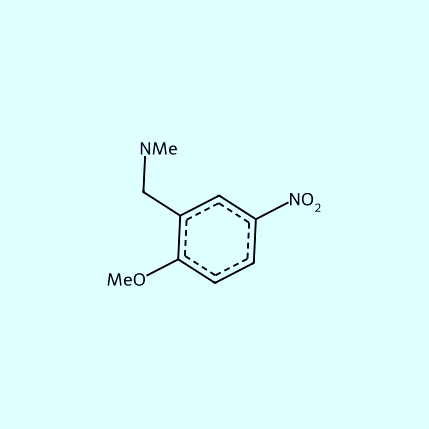 CNCc1cc([N+](=O)[O-])ccc1OC